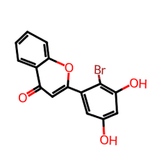 O=c1cc(-c2cc(O)cc(O)c2Br)oc2ccccc12